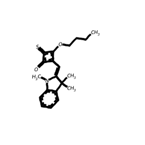 CCCCOc1c(C=C2N(C)c3ccccc3C2(C)C)c(=O)c1=S